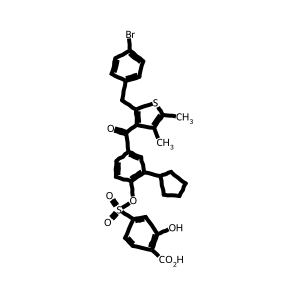 Cc1sc(Cc2ccc(Br)cc2)c(C(=O)c2ccc(OS(=O)(=O)c3ccc(C(=O)O)c(O)c3)c(C3CCCC3)c2)c1C